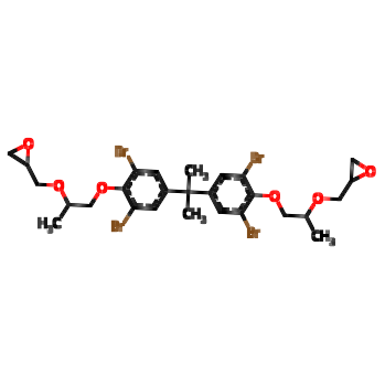 CC(COc1c(Br)cc(C(C)(C)c2cc(Br)c(OCC(C)OCC3CO3)c(Br)c2)cc1Br)OCC1CO1